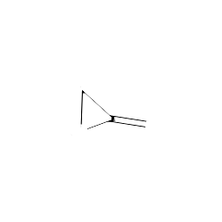 [CH]=C1CO1